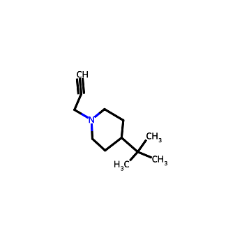 C#CCN1CCC(C(C)(C)C)CC1